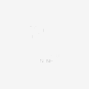 O=c1[nH]ncc2cc(C(F)(F)C(F)(F)F)ccc12